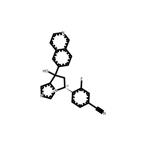 N#Cc1ccc([C@H]2CC(O)(c3ccc4cnccc4c3)c3cncn32)c(F)c1